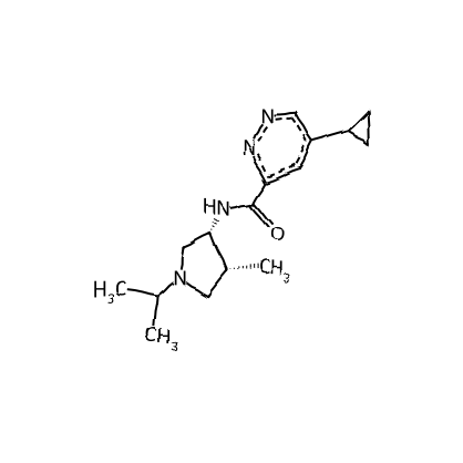 CC(C)N1C[C@@H](C)[C@@H](NC(=O)c2cc(C3CC3)cnn2)C1